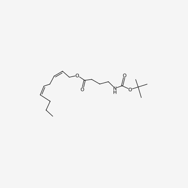 CCC/C=C\C/C=C\COC(=O)CCCNC(=O)OC(C)(C)C